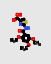 COc1cc(OC)c(C(=O)Nc2nc(C(=O)O)cs2)cc1OC